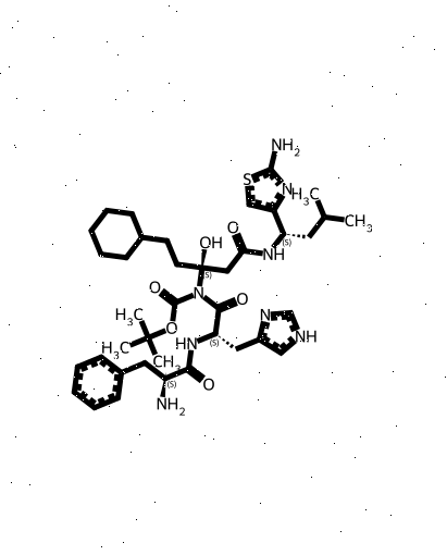 CC(C)C[C@H](NC(=O)C[C@@](O)(CCC1CCCCC1)N(C(=O)OC(C)(C)C)C(=O)[C@H](Cc1c[nH]cn1)NC(=O)[C@@H](N)Cc1ccccc1)c1csc(N)n1